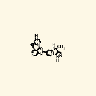 CC(Nc1cc(-c2nc(N3CCNCC3)c3c(C4CC4)cncc3n2)ccn1)c1cn[nH]c1